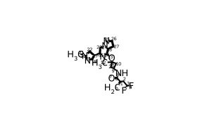 C=C(CC(F)F)C(=O)NC1CC(C)(Oc2nc(-c3cnn(C)c3)cn3nccc23)C1